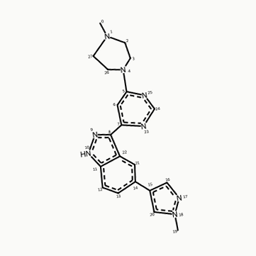 CN1CCN(c2cc(-c3n[nH]c4ccc(-c5cnn(C)c5)cc34)ncn2)CC1